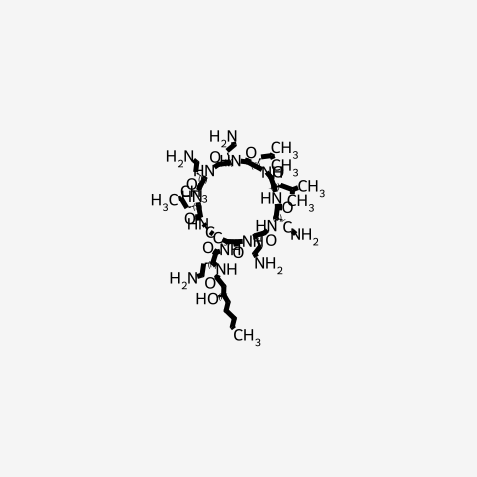 CCCCC[C@@H](O)CC(=O)N[C@H](CCN)C(=O)N[C@H]1CCNC(=O)[C@H](CC(C)C)NC(=O)[C@H](CCN)NC(=O)[C@H](CCN)NC(=O)[C@H](CC(C)C)NC(=O)[C@@H](CC(C)C)NC(=O)[C@H](CCN)NC(=O)[C@@H](CCN)NC1=O